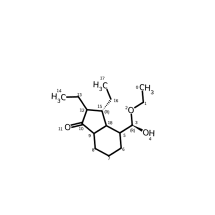 CCO[C@@H](O)C1CCCC2C(=O)C(CC)[C@H](CC)C21